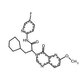 COc1ccc2ncn(C(CC3CCCCC3)C(=O)Nc3ccc(F)cn3)c(=O)c2n1